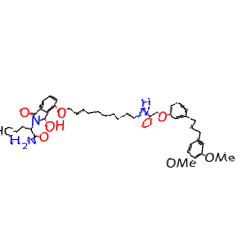 COc1ccc(CCCc2cccc(OCC(=O)NCCCCCCCCCCOc3cccc4c3C(O)N(C(CCC=O)C(N)=O)C4=O)c2)cc1OC